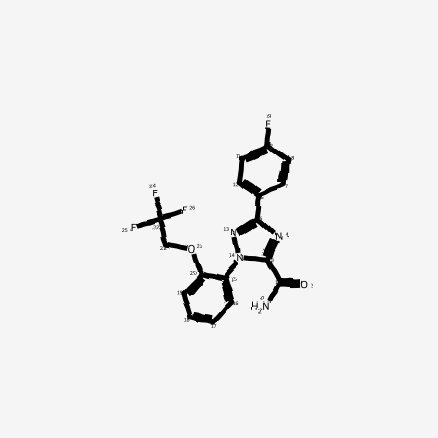 NC(=O)c1nc(-c2ccc(F)cc2)nn1-c1ccccc1OCC(F)(F)F